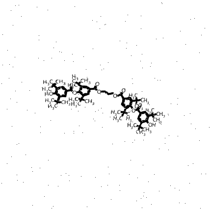 CC(C)(C)c1cc(C(=O)Oc2c(C(C)(C)C)cc(C(=O)OCCCOC(=O)c3cc(C(C)(C)C)c(OC(=O)c4cc(C(C)(C)C)c(O)c(C(C)(C)C)c4)c(C(C)(C)C)c3)cc2C(C)(C)C)cc(C(C)(C)C)c1O